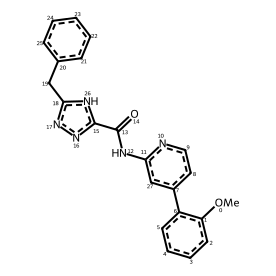 COc1ccccc1-c1ccnc(NC(=O)c2nnc(Cc3ccccc3)[nH]2)c1